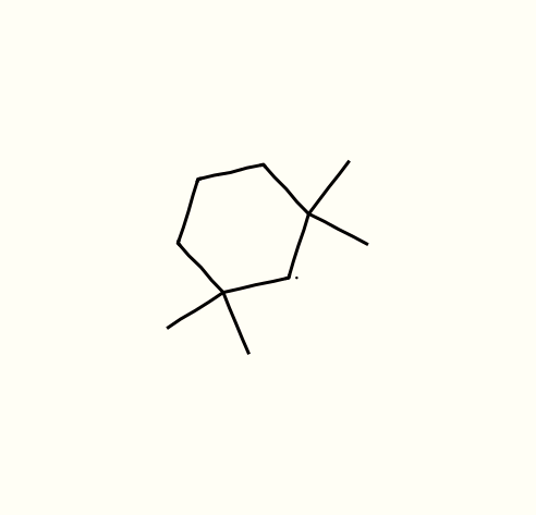 CC1(C)[CH]C(C)(C)CCC1